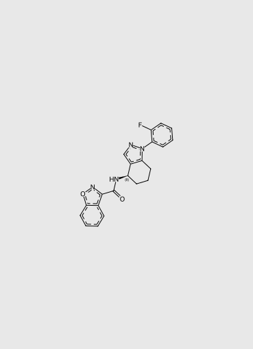 O=C(N[C@@H]1CCCc2c1cnn2-c1ccccc1F)c1noc2ccccc12